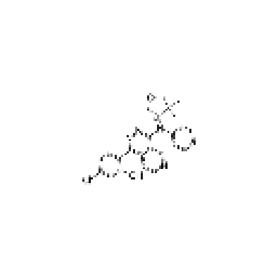 CC1(C)COC[C@H]1N(c1ccccc1)c1nnc(-c2ccc(Cl)cc2O)c2ccncc12